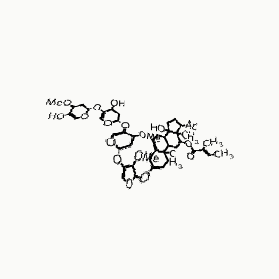 C/C=C(\C)C(=O)OC1CC2C(CC=C3CC(OC4OC=C(O[C@H]5CC(OC)C(O[C@H]6CC(O)C(O[C@H]7CC(OC)C(O)=CO7)=CO6)=CO5)C4OC)CCC32C)C2(O)CCC(C(C)=O)C12C